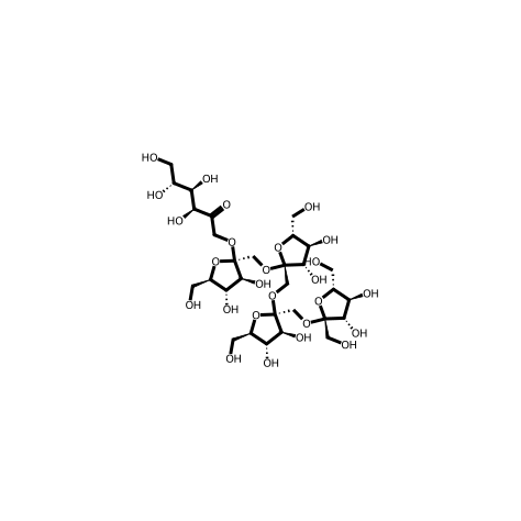 O=C(CO[C@]1(CO[C@]2(CO[C@]3(CO[C@]4(CO)O[C@H](CO)[C@@H](O)[C@@H]4O)O[C@H](CO)[C@@H](O)[C@@H]3O)O[C@H](CO)[C@@H](O)[C@@H]2O)O[C@H](CO)[C@@H](O)[C@@H]1O)[C@@H](O)[C@H](O)[C@H](O)CO